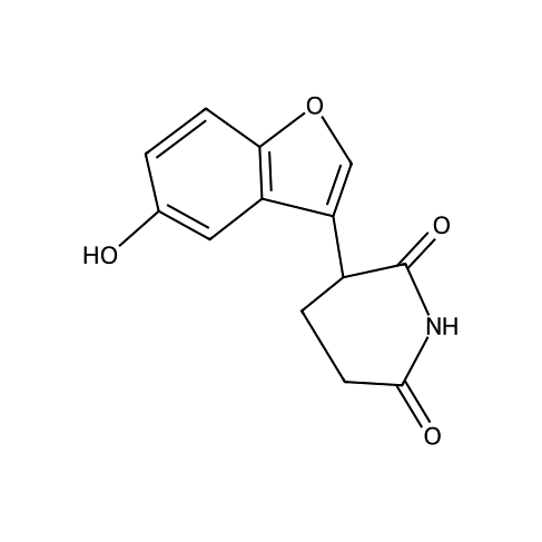 O=C1CCC(c2coc3ccc(O)cc23)C(=O)N1